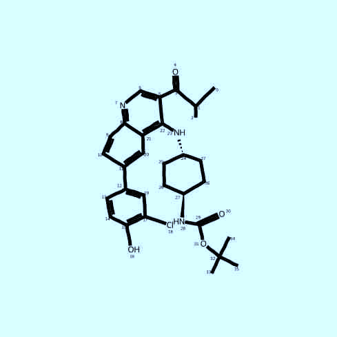 CC(C)C(=O)c1cnc2ccc(-c3ccc(O)c(Cl)c3)cc2c1N[C@H]1CC[C@H](NC(=O)OC(C)(C)C)CC1